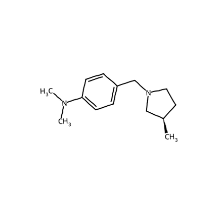 C[C@@H]1CCN(Cc2ccc(N(C)C)cc2)C1